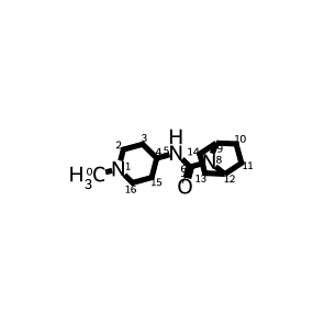 CN1CCC(NC(=O)N2C3CCC2CC3)CC1